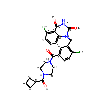 O=C(c1ccc(F)c(Cn2c(=O)[nH]c(=O)c3c(F)cccc32)c1)N1CCN(C(=O)C2CCC2)CC1